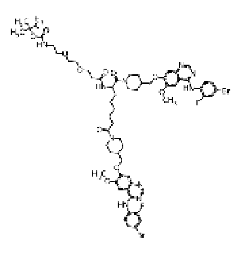 COc1cc2c(Nc3ccc(Br)cc3F)ncnc2cc1OCC1CCN(C(=O)CCCCCC(NC(=O)CCOCCOCCNC(=O)OC(C)(C)C)C(=O)N2CCC(COc3cc4ncnc(Nc5ccc(Br)cc5F)c4cc3OC)CC2)CC1